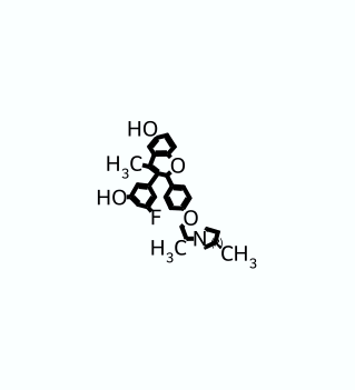 CC1=C(c2cc(O)cc(F)c2)C(c2ccc(OCC(C)N3CC[C@@H](C)C3)cc2)Oc2ccc(O)cc21